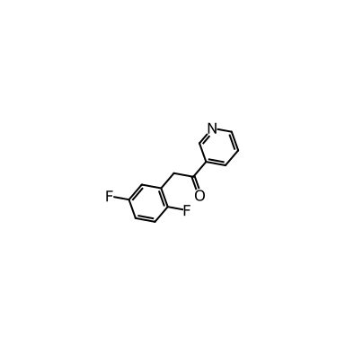 O=C(Cc1cc(F)ccc1F)c1cccnc1